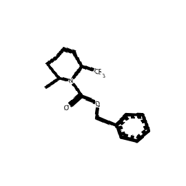 CC1CCCC(C(F)(F)F)N1C(=O)OCc1ccccc1